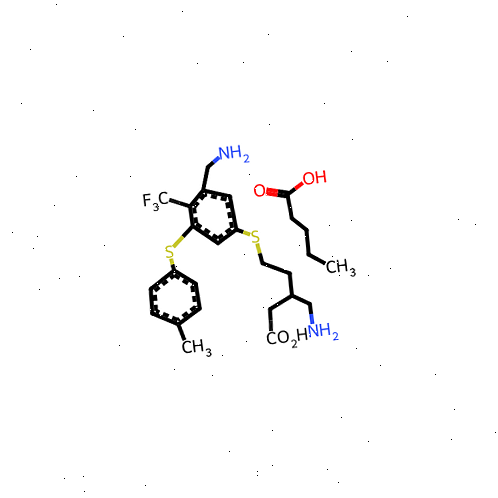 CCCCC(=O)O.Cc1ccc(Sc2cc(SCCC(CN)CC(=O)O)cc(CN)c2C(F)(F)F)cc1